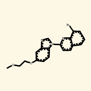 COCCOc1ccc2c(c1)ncn2-c1ccc2cccc(Br)c2n1